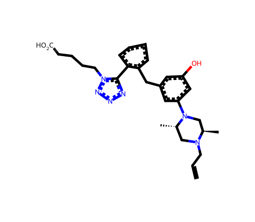 C=CCN1C[C@H](C)N(c2cc(O)cc(Cc3ccccc3-c3nnnn3CCCCC(=O)O)c2)C[C@H]1C